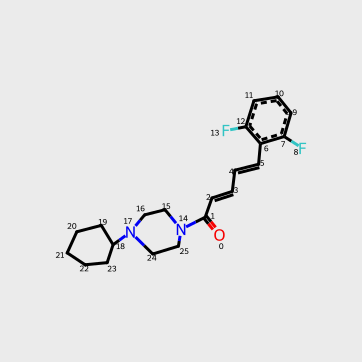 O=C(C=CC=Cc1c(F)cccc1F)N1CCN(C2CCCCC2)CC1